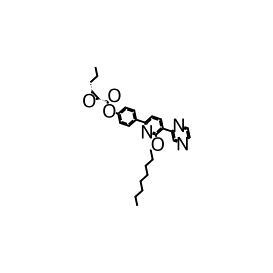 CCCCCCCCOc1nc(-c2ccc(OC(=O)[C@@H]3O[C@@H]3CCC)cc2)ccc1-c1cnccn1